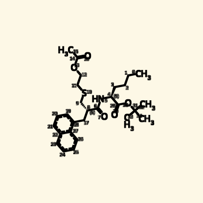 CCCC[C@H](NC(=O)[C@@H](CSCCOC(C)=O)Cc1cccc2ccccc12)C(=O)OC(C)(C)C